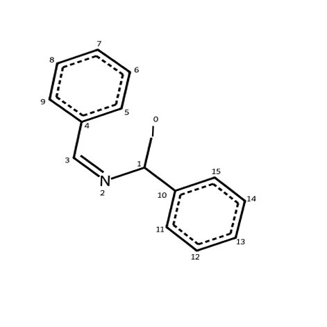 IC(/N=C\c1ccccc1)c1ccccc1